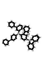 c1ccc(-c2ccc(N(c3cccc(-c4ccccc4)c3)c3ccc(-n4c5ccccc5c5ccccc54)c4oc5ccccc5c34)cc2)cc1